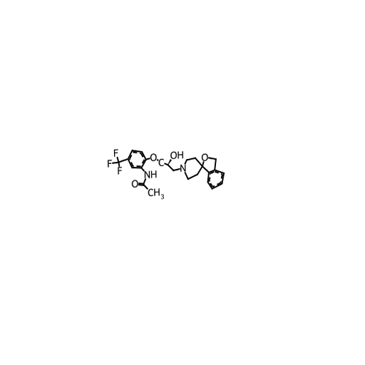 CC(=O)Nc1cc(C(F)(F)F)ccc1OC[C@@H](O)CN1CCC2(CC1)OCc1ccccc12